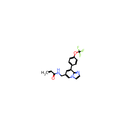 C=CC(=O)NCc1cc(-c2ccc(OC(F)(F)F)cc2)c2nccn2c1